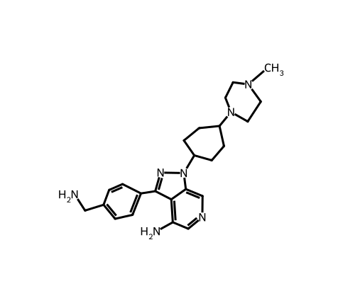 CN1CCN(C2CCC(n3nc(-c4ccc(CN)cc4)c4c(N)cncc43)CC2)CC1